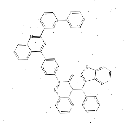 c1ccc(-c2cccc(-c3nc(-c4ccc(-c5nc6ccccc6c6c(-c7ccccc7)c7c(cc56)oc5ccccc57)cc4)c4ccccc4n3)c2)cc1